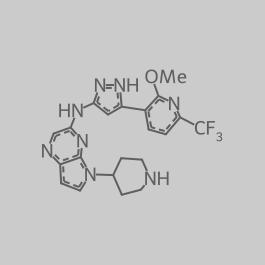 COc1nc(C(F)(F)F)ccc1-c1cc(Nc2cnc3ccn(C4CCNCC4)c3n2)n[nH]1